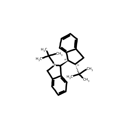 CC(C)(C)[C@H]1Cc2ccccc2[C@@H]1C1c2ccccc2CP1C(C)(C)C